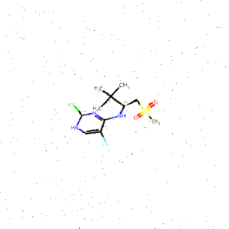 CC(C)(C)[C@@H](CS(C)(=O)=O)NC1=NC(Cl)NC=C1F